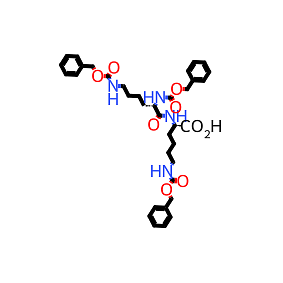 O=C(NCCCC[C@H](NC(=O)[C@H](CCCCNC(=O)OCc1ccccc1)NC(=O)OCc1ccccc1)C(=O)O)OCc1ccccc1